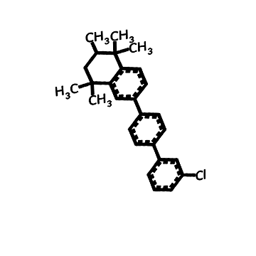 CC1CC(C)(C)c2cc(-c3ccc(-c4cccc(Cl)c4)cc3)ccc2C1(C)C